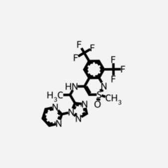 CC(NC1=CS(C)(=O)=Nc2c1cc(C(F)(F)F)cc2C(F)(F)F)c1ncnn1-c1ncccn1